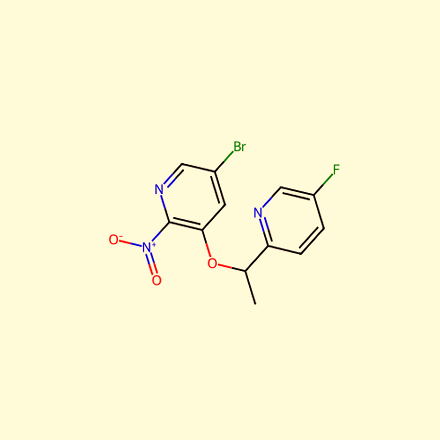 CC(Oc1cc(Br)cnc1[N+](=O)[O-])c1ccc(F)cn1